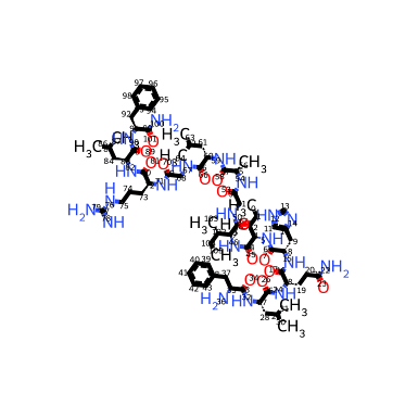 CC[C@H](C)[C@H](NC(=O)[C@H](Cc1c[nH]cn1)NC(=O)[C@H](CCC(N)=O)NC(=O)[C@H](CC(C)C)NC(=O)[C@@H](N)Cc1ccccc1)C(=O)N[C@H](C(=O)NCC(=O)N[C@@H](C)C(=O)N[C@@H](CC(C)C)C(=O)NCC(=O)N[C@@H](CCCNC(=N)N)C(=O)N[C@@H](CC(C)C)C(=O)N[C@@H](Cc1ccccc1)C(N)=O)[C@@H](C)CC